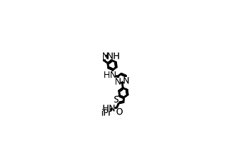 CC(C)NC(=O)c1cc2ccc(-c3nccc(Nc4ccc5[nH]ncc5c4)n3)cc2s1